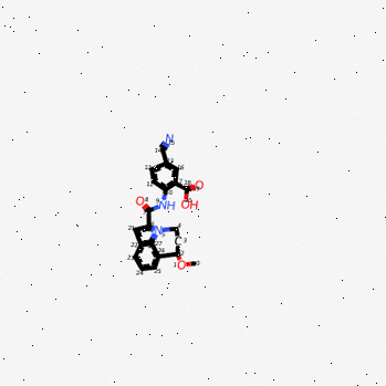 COC1CCn2c(C(=O)Nc3ccc(C#N)cc3C(=O)O)cc3cccc1c32